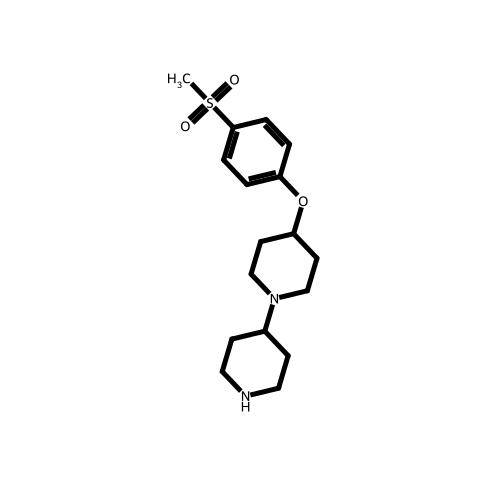 CS(=O)(=O)c1ccc(OC2CCN(C3CCNCC3)CC2)cc1